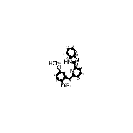 CC(C)COc1ccc(Cl)cc1Cc1cccc(-c2nc3ncccc3[nH]2)n1.Cl